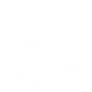 CCCc1cc(Cl)ccc1C1COc2ccc3cc2N(CCC(CC)C(OC(=O)N(C)C)/C=C/COC(C)(C)C(=O)N[S+]3[O-])C1